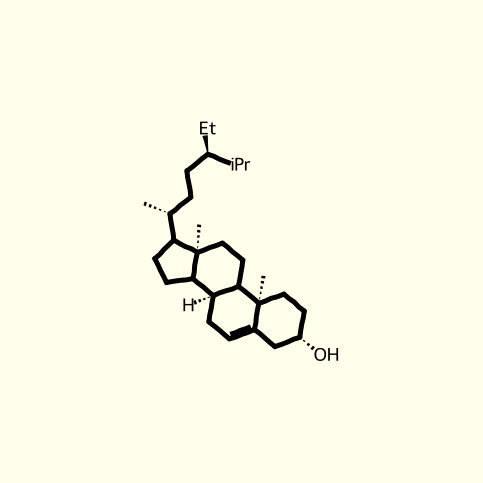 CC[C@H](CC[C@@H](C)C1CCC2[C@@H]3CC=C4C[C@@H](O)CC[C@]4(C)C3CC[C@@]21C)C(C)C